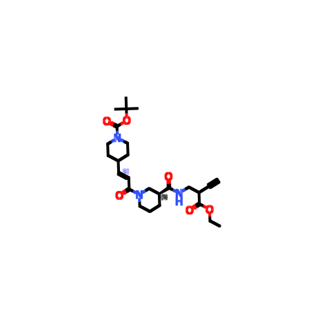 C#CC(CNC(=O)[C@H]1CCCN(C(=O)/C=C/C2CCN(C(=O)OC(C)(C)C)CC2)C1)C(=O)OCC